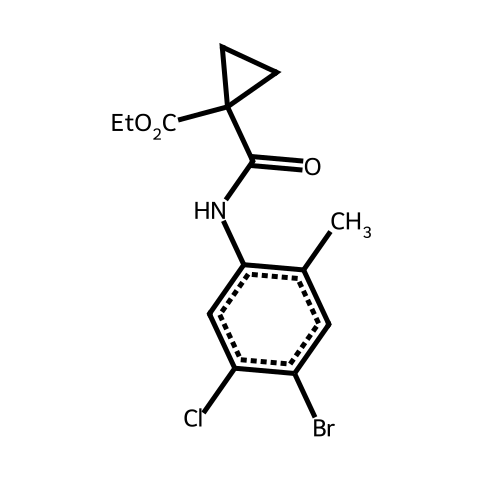 CCOC(=O)C1(C(=O)Nc2cc(Cl)c(Br)cc2C)CC1